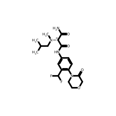 CC(C)CN(C)[C@H](C(N)=O)C(=O)Nc1ccc(N2CCOCC2=O)c(C(F)F)c1